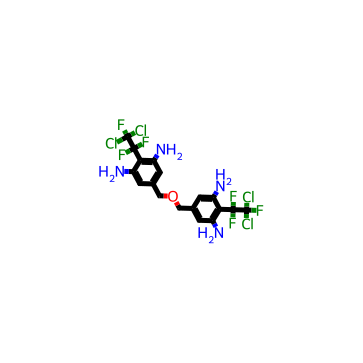 Nc1cc(COCc2cc(N)c(C(F)(F)C(F)(Cl)Cl)c(N)c2)cc(N)c1C(F)(F)C(F)(Cl)Cl